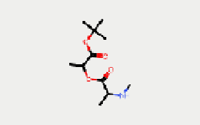 CNC(C)C(=O)OC(C)C(=O)OC(C)(C)C